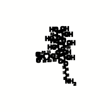 NCCCCCO[C@@H]1OC(COc2ccc([N+](=O)[O-])cc2)[C@@H](O[C@@H]2OC(CO)[C@H](O[C@H]3OC(CO)[C@H](O)[C@H](O)C3O)[C@H](O)C2O)[C@H](O)C1O